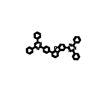 c1ccc(-c2cc(-c3ccccc3)nc(-c3ccc(-c4cccc5c4oc4ccc(-c6nc(-c7ccccc7)nc(-c7ccccc7)n6)cc45)cc3)n2)cc1